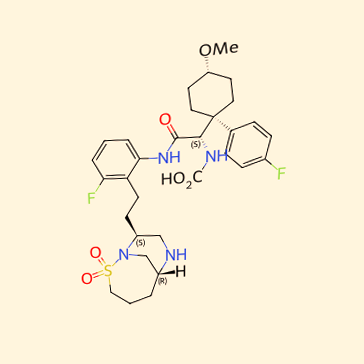 CO[C@H]1CC[C@](c2ccc(F)cc2)([C@H](NC(=O)O)C(=O)Nc2cccc(F)c2CC[C@H]2CN[C@@H]3CCCS(=O)(=O)N2C3)CC1